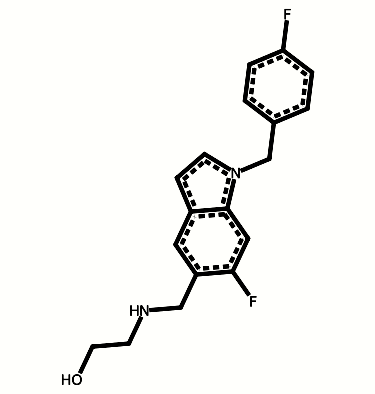 OCCNCc1cc2ccn(Cc3ccc(F)cc3)c2cc1F